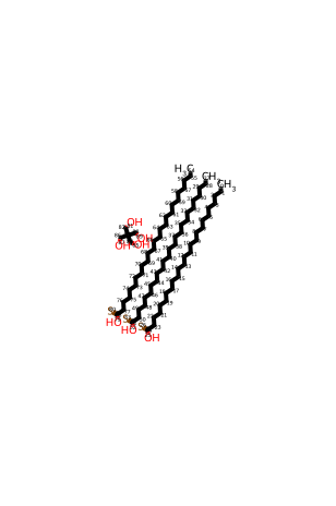 CCCCCCCCCCCCCCCCCCCCCCCCC(O)=S.CCCCCCCCCCCCCCCCCCCCCCCCC(O)=S.CCCCCCCCCCCCCCCCCCCCCCCCC(O)=S.OCC(CO)(CO)CO